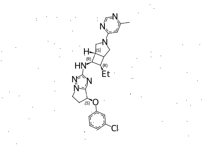 CC[C@@H]1C2CN(c3cc(C)ncn3)C[C@H]2[C@@H]1Nc1nc2n(n1)CC[C@@H]2Oc1cccc(Cl)c1